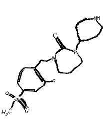 CS(=O)(=O)c1ccc(CN2CCCN(C3CCNCC3)C2=O)c(F)c1